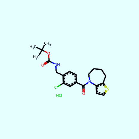 CC(C)(C)OC(=O)NCc1ccc(C(=O)N2CCCCc3sccc32)cc1Cl.Cl